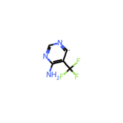 Nc1ncn[c]c1C(F)(F)F